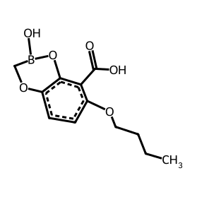 CCCCOc1ccc2c(c1C(=O)O)OB(O)CO2